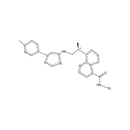 CCNC(=O)c1ccnc2c([C@H](C)CNc3cc(-c4ccc(C)nc4)ncn3)cccc12